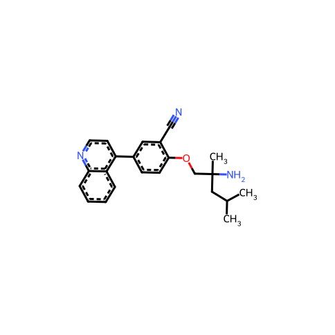 CC(C)CC(C)(N)COc1ccc(-c2ccnc3ccccc23)cc1C#N